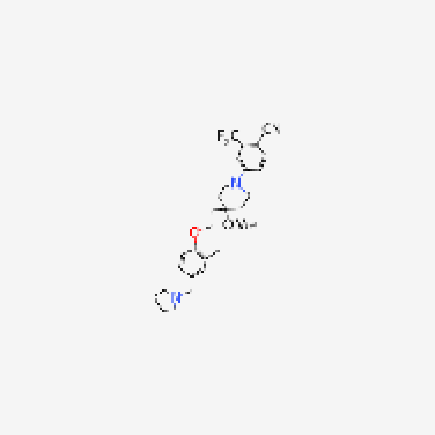 COC1(CCOc2ccc(CN3CCCC3)cc2C)CCN(c2ccc(C#N)c(C(F)(F)F)c2)CC1